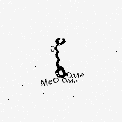 C/C=C\C(=C/C)C(=O)/C=C/C=C/c1cc(OC)c(OC)c(OC)c1